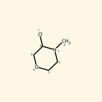 CN1[CH]COCC1Cl